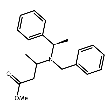 COC(=O)CC(C)N(Cc1ccccc1)[C@H](C)c1ccccc1